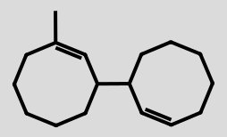 CC1=CC(C2C=CCCCCC2)CCCCC1